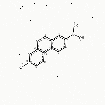 OB(O)c1ccc2c(ccc3cc(Cl)ccc32)c1